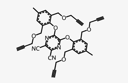 C#CCOCc1cc(C)cc(COCC#C)c1Oc1nc(C#N)c(C#N)nc1Oc1c(COCC#C)cc(C)cc1COCC#C